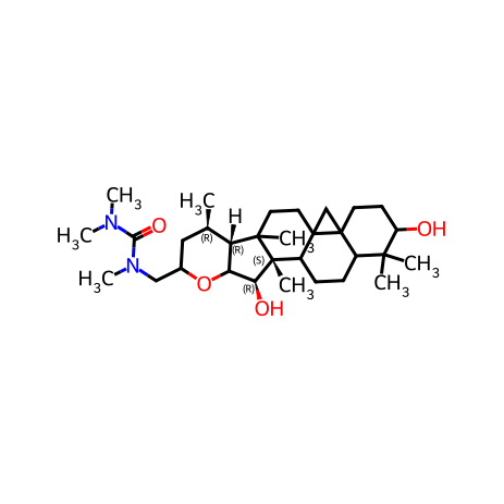 C[C@@H]1CC(CN(C)C(=O)N(C)C)OC2[C@H]1C1(C)CCC34CC35CCC(O)C(C)(C)C5CCC4[C@]1(C)[C@H]2O